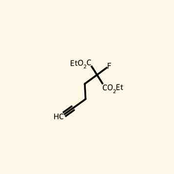 C#CCCC(F)(C(=O)OCC)C(=O)OCC